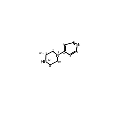 C[C@@H]1CN(c2ccncc2)CCN1